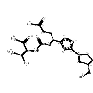 C[C@H](O)[C@H](NC(=O)N[C@@H](CCC(=O)O)c1nc(N2CC[C@@H](CO)C2)no1)C(=O)O